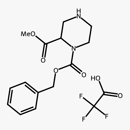 COC(=O)C1CNCCN1C(=O)OCc1ccccc1.O=C(O)C(F)(F)F